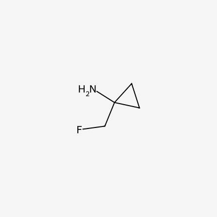 NC1(CF)CC1